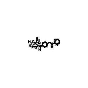 CC(C)(C)S(=O)(=O)Nc1ccc(CNc2ncccn2)cc1